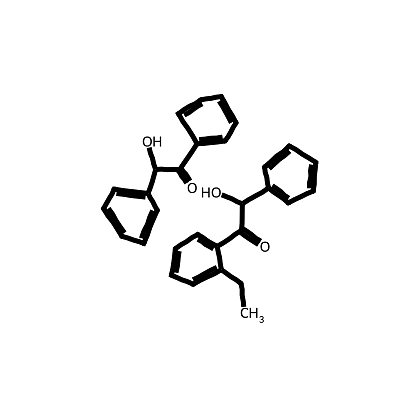 CCc1ccccc1C(=O)C(O)c1ccccc1.O=C(c1ccccc1)C(O)c1ccccc1